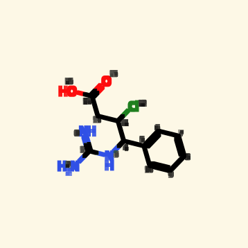 N=C(N)NC(c1ccccc1)C(Cl)CC(=O)O